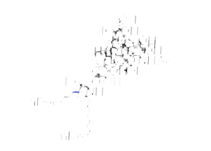 CCCCCCCCCCCCC/C=C/[C@@H](O)[C@H](CO[C@@H]1O[C@@H](CO)[C@@H](O[C@@H]2OC(CO)[C@H](O[C@@H]3OC(CO)[C@H](O)[C@H](O)C3NC(C)=O)[C@H](O[C@]3(C(=O)O)CC(O)[C@@H](C)[C@H]([C@H](O)[C@H](O)CO)O3)C2O)C(O)C1O)NC(=O)CCCCCCCCCCCCCCCCC